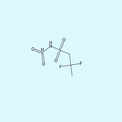 CC(F)(F)CS(=O)(=O)N[SH](=O)=O